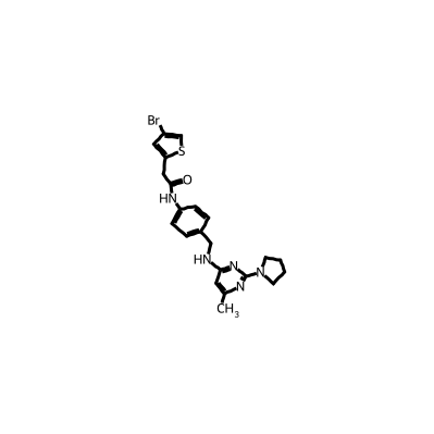 Cc1cc(NCc2ccc(NC(=O)Cc3cc(Br)cs3)cc2)nc(N2CCCC2)n1